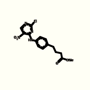 COC(=O)CCCc1ccc(Nc2nc(Cl)ncc2[N+](=O)[O-])cc1